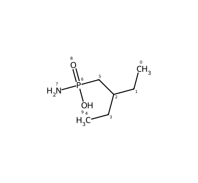 CCC(CC)CP(N)(=O)O